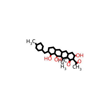 CC(=O)C1C(=O)C2(C)C(CC1O)CC1CC3CCC(CC4CCC(C)CC4)C(O)C3C(O)C1C2C